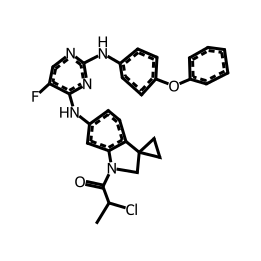 CC(Cl)C(=O)N1CC2(CC2)c2ccc(Nc3nc(Nc4ccc(Oc5ccccc5)cc4)ncc3F)cc21